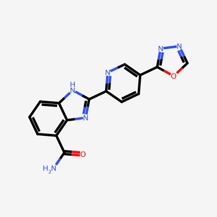 NC(=O)c1cccc2[nH]c(-c3ccc(-c4nnco4)cn3)nc12